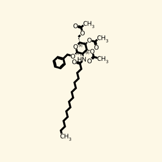 CCCCCCCCCCCCCCCC(=O)N[C@@H]1[C@@H](OCc2ccccc2)O[C@H](COC(C)=O)[C@@H](OC(C)=O)[C@@H]1OC(C)=O